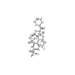 C[C@@H](O[C@@H]1C[C@@H]2C(NC3CCOCC3)CC(=O)N2C1)c1cc(C(F)(F)F)cc(C(F)(F)F)c1